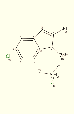 CCC1=Cc2ccccc2[CH]1[Zr+2].C[SiH2]C.[Cl-].[Cl-]